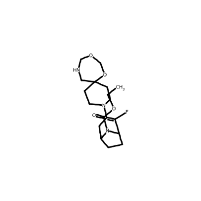 CCOC(=O)N1C2CCC1C(F)=C(N1CCC3(CC1)CNCOCO3)C2